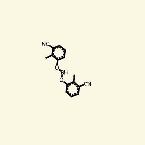 Cc1c(C#N)cccc1OBOc1cccc(C#N)c1C